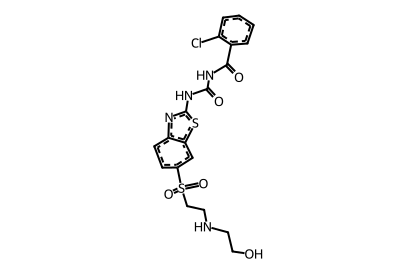 O=C(NC(=O)c1ccccc1Cl)Nc1nc2ccc(S(=O)(=O)CCNCCO)cc2s1